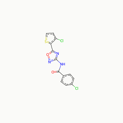 O=C(Nc1noc(-c2sccc2Cl)n1)c1ccc(Cl)cc1